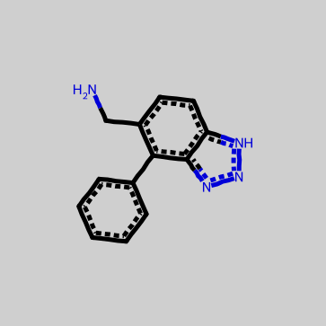 NCc1ccc2[nH]nnc2c1-c1ccccc1